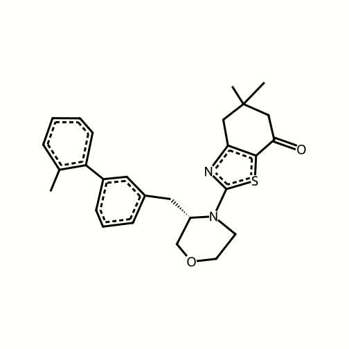 Cc1ccccc1-c1cccc(C[C@H]2COCCN2c2nc3c(s2)C(=O)CC(C)(C)C3)c1